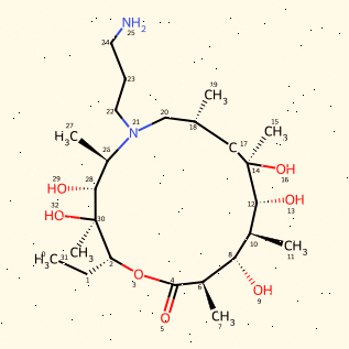 CC[C@H]1OC(=O)[C@H](C)[C@@H](O)[C@H](C)[C@@H](O)[C@](C)(O)C[C@@H](C)CN(CCCN)[C@H](C)[C@@H](O)[C@]1(C)O